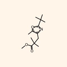 COC(=O)C(C)(C)Cc1nc(C(C)(C)C)oc1C